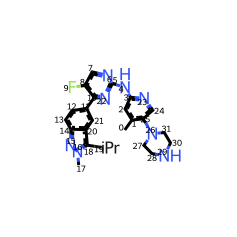 Cc1cc(Nc2ncc(F)c(-c3ccc4nn(C)c(C(C)C)c4c3)n2)ncc1N1CCNCC1